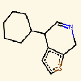 C1=NCc2sccc2C1C1CCCCC1